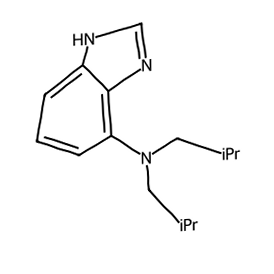 CC(C)CN(CC(C)C)c1cccc2[nH]cnc12